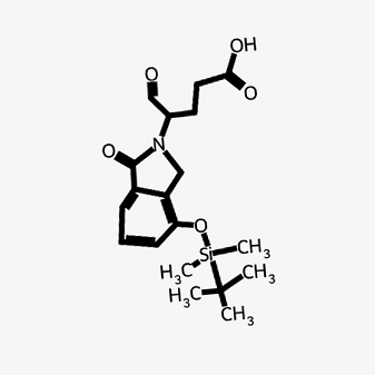 CC(C)(C)[Si](C)(C)Oc1cccc2c1CN(C(C=O)CCC(=O)O)C2=O